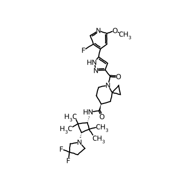 COc1cc(-c2cc(C(=O)N3CC[C@H](C(=O)N[C@H]4C(C)(C)[C@@H](N5CCC(F)(F)C5)C4(C)C)CC34CC4)n[nH]2)c(F)cn1